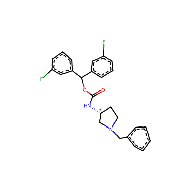 O=C(N[C@@H]1CCN(Cc2ccccc2)C1)OC(c1cccc(F)c1)c1cccc(F)c1